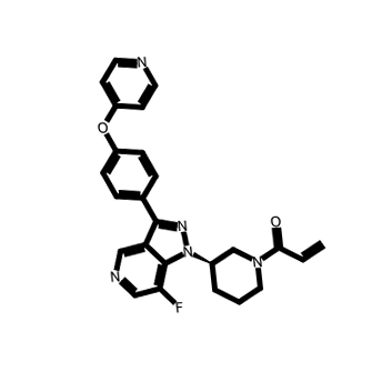 C=CC(=O)N1CCC[C@@H](n2nc(-c3ccc(Oc4ccncc4)cc3)c3cncc(F)c32)C1